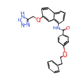 O=C(Nc1cccc2ccc(OCc3nnn[nH]3)cc12)c1ccc(OCCc2ccccc2)cc1